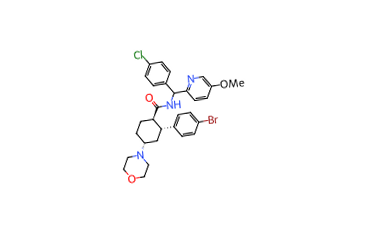 COc1ccc(C(NC(=O)[C@@H]2CC[C@@H](N3CCOCC3)C[C@H]2c2ccc(Br)cc2)c2ccc(Cl)cc2)nc1